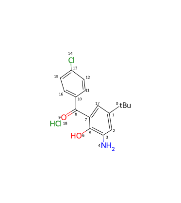 CC(C)(C)c1cc(N)c(O)c(C(=O)c2ccc(Cl)cc2)c1.Cl